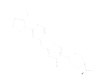 N[C@@H]1COCC12CCN(c1ncc(Sc3ccnc(N4CCCC4CO)c3Cl)nc1CO)CC2